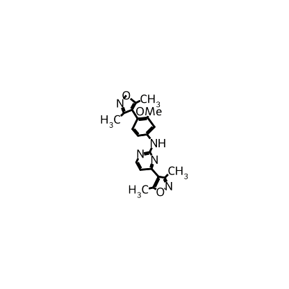 COc1cc(Nc2nccc(-c3c(C)noc3C)n2)ccc1-c1c(C)noc1C